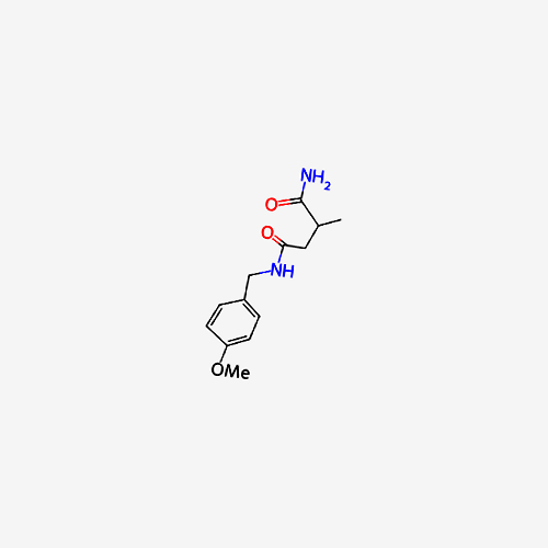 COc1ccc(CNC(=O)CC(C)C(N)=O)cc1